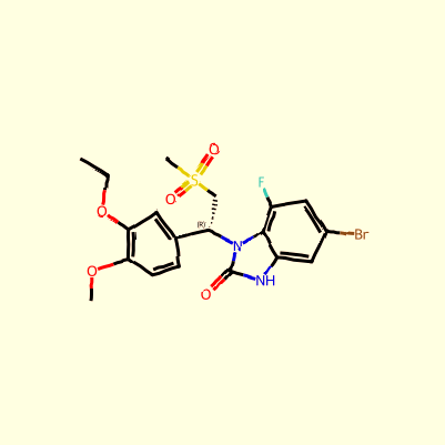 CCOc1cc([C@H](CS(C)(=O)=O)n2c(=O)[nH]c3cc(Br)cc(F)c32)ccc1OC